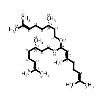 CC(C)=CCC/C(C)=C/C(OCC[C@@H](C)CCC=C(C)C)OCC[C@@H](C)CCC=C(C)C